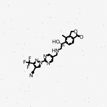 Cc1c([C@@H](O)CNCc2cnc(-n3cc(C#N)c(C(F)(F)F)n3)nc2)ccc2c1COC2=O